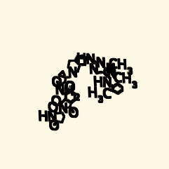 Cc1cccc(C)c1Nc1nn(C)c2nc(Nc3ccc4c(c3)CN(CC3(C(Oc5ccc6c(c5)C(=O)N(C5CCC(=O)NC5=O)C6=O)C(N)=O)CC3)CC4)ncc12